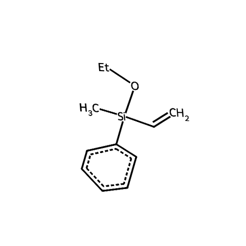 C=C[Si](C)(OCC)c1ccccc1